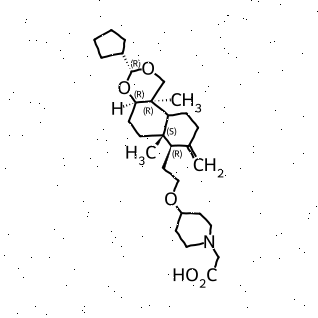 C=C1CCC2[C@]3(C)CO[C@@H](C4CCCC4)O[C@@H]3CC[C@@]2(C)[C@@H]1CCOC1CCN(CC(=O)O)CC1